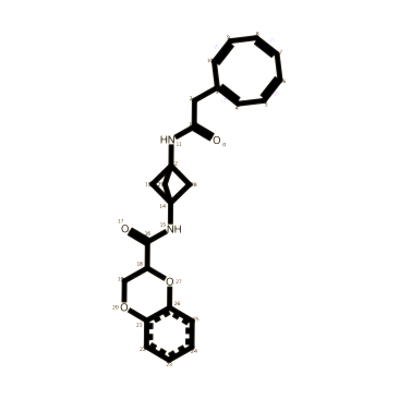 O=C(CC1=C/C=C\C=C/C=C\1)NC12CC(NC(=O)C3COc4ccccc4O3)(C1)C2